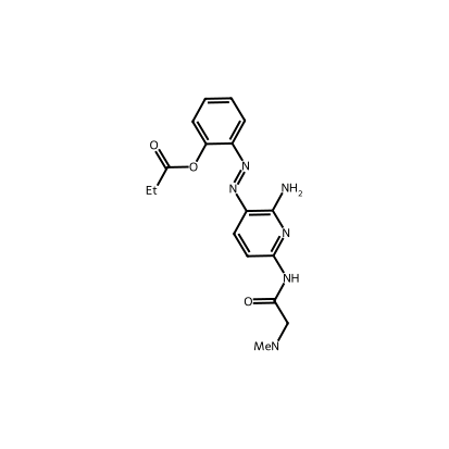 CCC(=O)Oc1ccccc1/N=N/c1ccc(NC(=O)CNC)nc1N